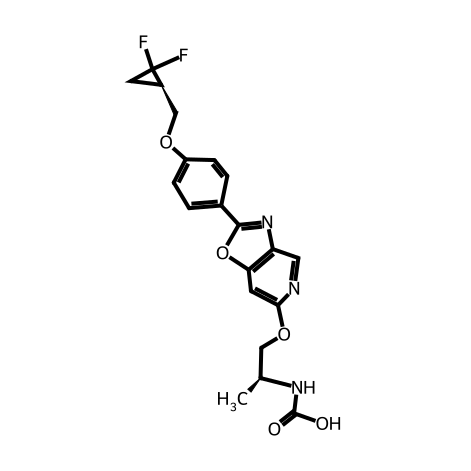 C[C@@H](COc1cc2oc(-c3ccc(OC[C@H]4CC4(F)F)cc3)nc2cn1)NC(=O)O